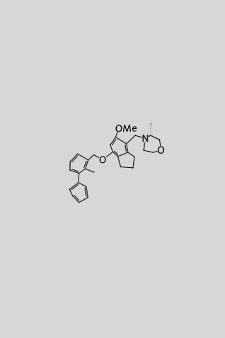 COc1cc(OCc2cccc(-c3ccccc3)c2C)c2c(c1CN1CCOC[C@H]1C)CCC2